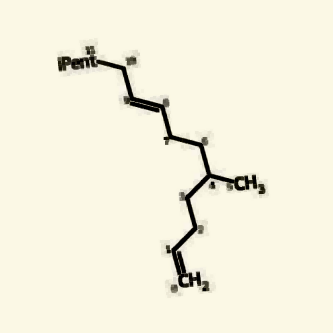 C=CCCC(C)CCC=CCC(C)CCC